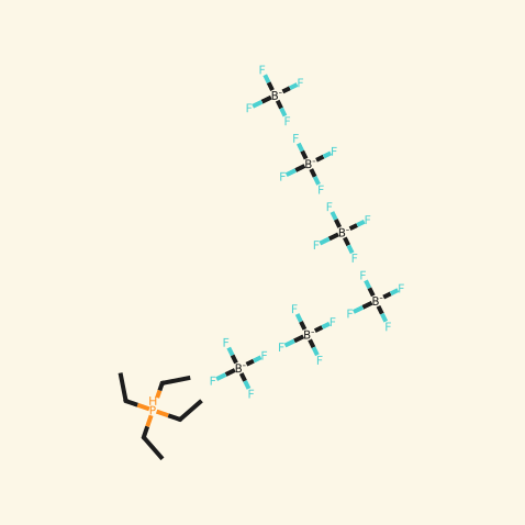 CC[PH](CC)(CC)CC.F[B-](F)(F)F.F[B-](F)(F)F.F[B-](F)(F)F.F[B-](F)(F)F.F[B-](F)(F)F.F[B-](F)(F)F